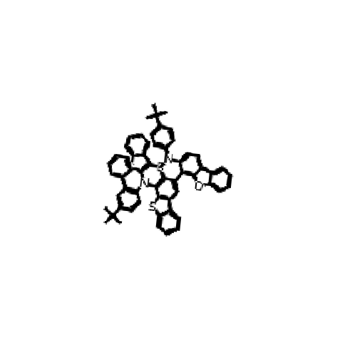 CC(C)(C)c1ccc(N2B3c4c(cc5c(sc6ccccc65)c4N(c4ccc(C(C)(C)C)cc4-c4ccccc4)c4sc5ccccc5c43)-c3c2ccc2c3oc3ccccc32)cc1